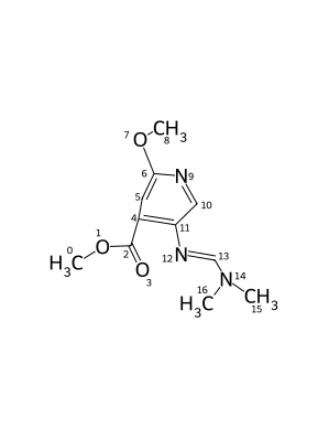 COC(=O)c1cc(OC)ncc1N=CN(C)C